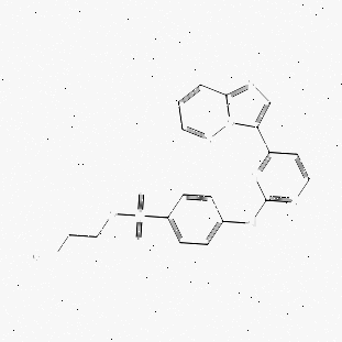 COCCNS(=O)(=O)c1ccc(Nc2nccc(-c3cnc4cccnn34)n2)cc1